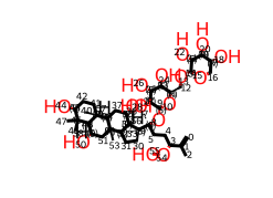 C=C(C)C(CC[C@](C)(O[C@@H]1O[C@H](CO[C@@H]2OC[C@@H](O)[C@@H](O)[C@@H]2O)[C@@H](O)[C@H](O)[C@H]1O)[C@H]1CC[C@]2(C)[C@@H]1[C@H](O)C[C@@H]1[C@@]3(C)CC[C@H](O)C(C)(C)[C@@H]3[C@@H](O)C[C@]12C)OO